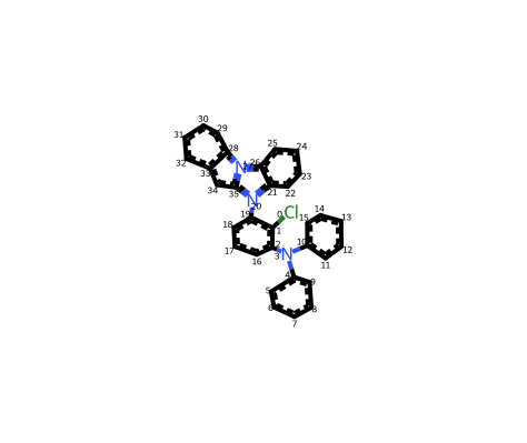 Clc1c(N(c2ccccc2)c2ccccc2)cccc1-n1c2ccccc2n2c3ccccc3cc12